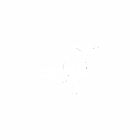 CCOC(=O)C(=O)N(C(=O)OC(C)(C)C)C1CC2CC(C(=O)OC)C1C2